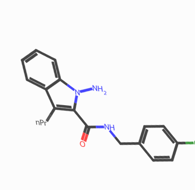 CCCc1c(C(=O)NCc2ccc(Cl)cc2)n(N)c2ccccc12